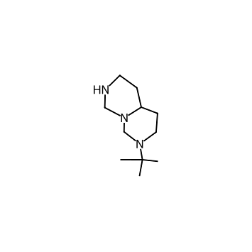 CC(C)(C)N1CCC2CCNCN2C1